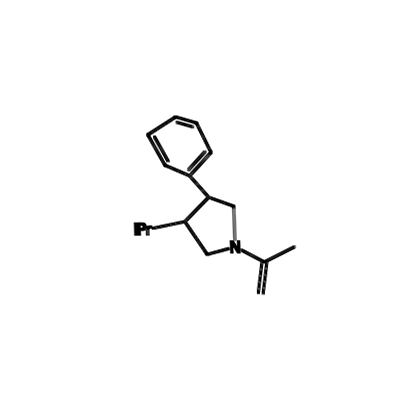 C=C(C)N1CC(c2ccccc2)C(C(C)C)C1